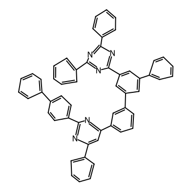 c1ccc(-c2ccc(-c3nc(-c4ccccc4)cc(-c4cccc(-c5cc(-c6ccccc6)cc(-c6nc(-c7ccccc7)nc(-c7ccccc7)n6)c5)c4)n3)cc2)cc1